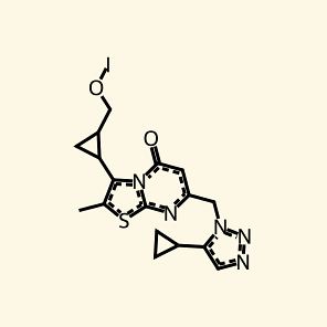 Cc1sc2nc(Cn3nncc3C3CC3)cc(=O)n2c1C1CC1COI